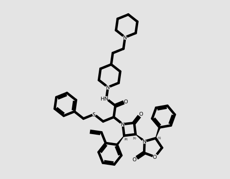 C=Cc1ccccc1[C@@H]1[C@H](N2C(=O)OC[C@@H]2c2ccccc2)C(=O)N1C(CSCc1ccccc1)C(=O)NN1CCC(CCN2CCCCC2)CC1